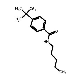 CCCCCNC(=O)c1ccc(C(C)(C)C)cc1